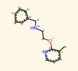 Cc1cccnc1OCCNCc1ccccc1